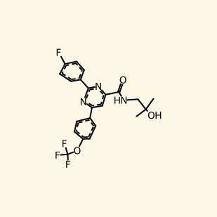 CC(C)(O)CNC(=O)c1cc(-c2ccc(OC(F)(F)F)cc2)nc(-c2ccc(F)cc2)n1